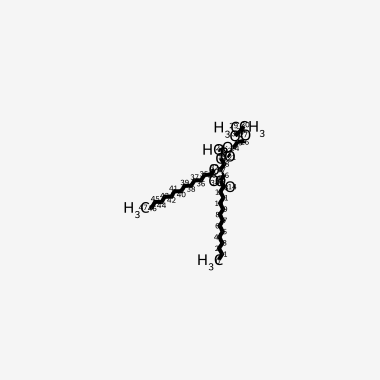 CCCCCCCCCCCCCC(=O)OC[C@H](COP(=O)(O)OCC1COC(C)(C)O1)OC(=O)CCCCCCCCCCCCC